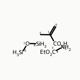 C=C(C)C(=O)O.CCOC(N)=O.[SiH3]O[SiH3]